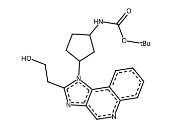 CC(C)(C)OC(=O)NC1CCC(n2c(CCO)nc3cnc4ccccc4c32)C1